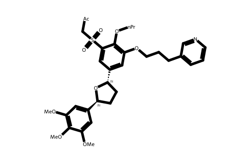 CCCOc1c(OCCCc2cccnc2)cc([C@@H]2CC[C@@H](c3cc(OC)c(OC)c(OC)c3)O2)cc1S(=O)(=O)CC(C)=O